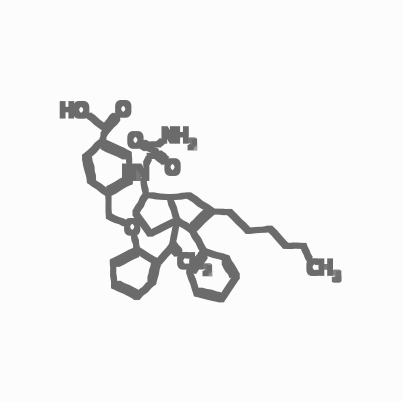 C=C(c1ccccc1OCc1ccc(C(=O)O)cc1)C12CCC(NS(N)(=O)=O)C1CC(CCCCCC)=C2c1ccccc1